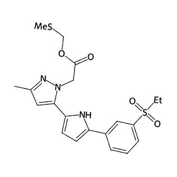 CCS(=O)(=O)c1cccc(-c2ccc(-c3cc(C)nn3CC(=O)OCSC)[nH]2)c1